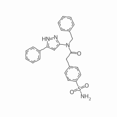 NS(=O)(=O)c1ccc(CC(=O)N(Cc2ccccc2)c2cc(-c3ccccc3)[nH]n2)cc1